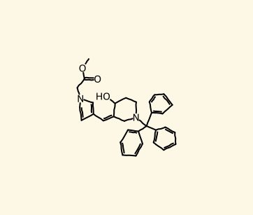 COC(=O)Cn1ccc(/C=C2/CN(C(c3ccccc3)(c3ccccc3)c3ccccc3)CCC2O)c1